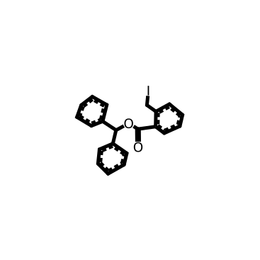 O=C(OC(c1ccccc1)c1ccccc1)c1ccccc1CI